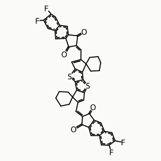 O=C1C(=CC2=Cc3sc4c5c(sc4c3C23CCCCC3)C=C(C=C2C(=O)c3cc4cc(F)c(F)cc4cc3C2=O)C52CCCCC2)C(=O)c2cc3cc(F)c(F)cc3cc21